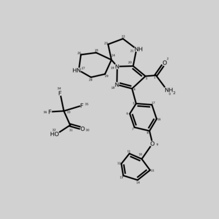 NC(=O)c1c(-c2ccc(Oc3ccccc3)cc2)nn2c1NCCC21CCNCC1.O=C(O)C(F)(F)F